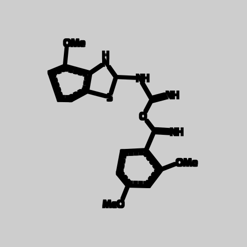 COc1ccc(C(=N)OC(=N)NC2Nc3c(OC)cccc3S2)c(OC)c1